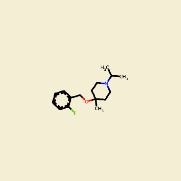 CC(C)N1CCC(C)(OCc2ccccc2F)CC1